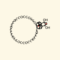 O=C(O)C1=CC2=CC(=C1)C21OCCOCCOCCOCCOCCCOCCOCCOCCOCCOCC12c1cc(C(=O)O)cc2c1